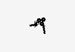 CCCCCCOc1cccc(-c2ccccc2-c2cccc(OC(=O)C(C)(F)CCCCC)c2)c1